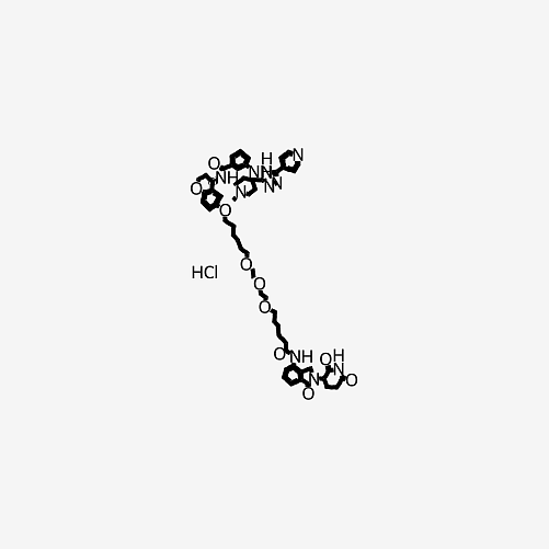 CN1CCC(Nc2cccc(C(=O)N[C@@H]3CCOc4ccc(OCCCCCCOCCOCCOCCCCCC(=O)Nc5cccc6c5CN(C5CCC(=O)NC5=O)C6=O)cc43)c2)(c2nnc(-c3ccncc3)[nH]2)CC1.Cl